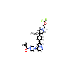 COC1(C2C=CC(c3cc4c(N5CCN(C(=O)C6CC6)CC5)ccnn4c3)=CC2)CCN([C@@H](C)COC(F)F)CC1